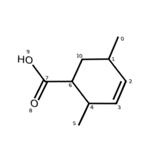 CC1C=CC(C)C(C(=O)O)C1